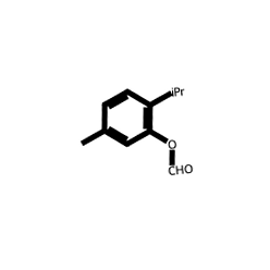 Cc1ccc(C(C)C)c(OC=O)c1